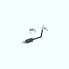 CCC#N.[AlH3]